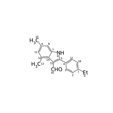 CCc1ccc(-c2[nH]c3cc(C)cc(C)c3c2C=O)cc1